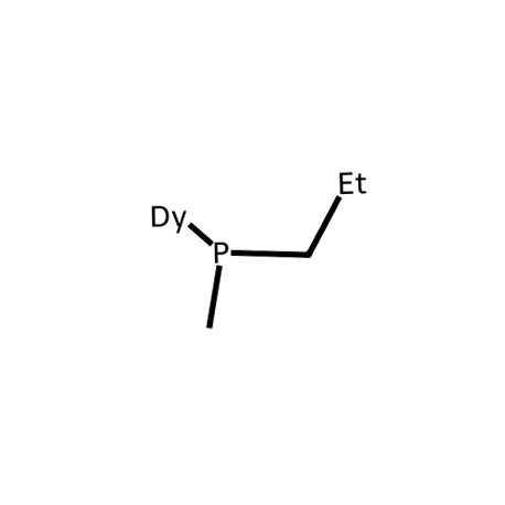 CCC[P](C)[Dy]